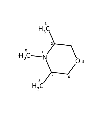 [CH2]N1C(C)COCC1C